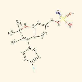 CC1=C(c2ccc(F)cc2)c2ccc(COS(=N)(=O)O)cc2OC1(C)C